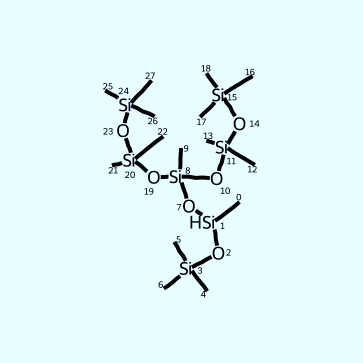 C[SiH](O[Si](C)(C)C)O[Si](C)(O[Si](C)(C)O[Si](C)(C)C)O[Si](C)(C)O[Si](C)(C)C